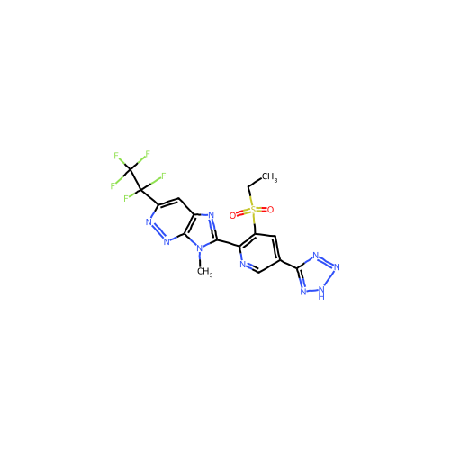 CCS(=O)(=O)c1cc(-c2nn[nH]n2)cnc1-c1nc2cc(C(F)(F)C(F)(F)F)nnc2n1C